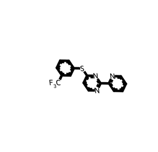 FC(F)(F)c1cccc(Sc2ccnc(-c3ccccn3)n2)c1